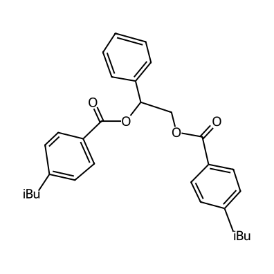 CCC(C)c1ccc(C(=O)OCC(OC(=O)c2ccc(C(C)CC)cc2)c2ccccc2)cc1